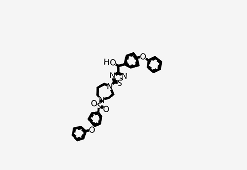 O=S(=O)(c1ccc(Oc2ccccc2)cc1)N1CCCN(c2nc(C(O)c3ccc(Oc4ccccc4)cc3)ns2)CC1